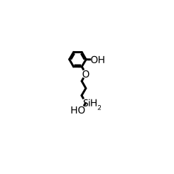 O[SiH2]CCCOc1ccccc1O